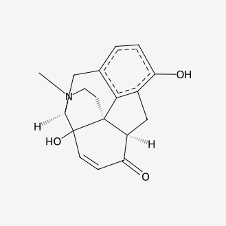 CN1CC[C@]23c4c5ccc(O)c4C[C@H]2C(=O)C=CC3(O)[C@H]1C5